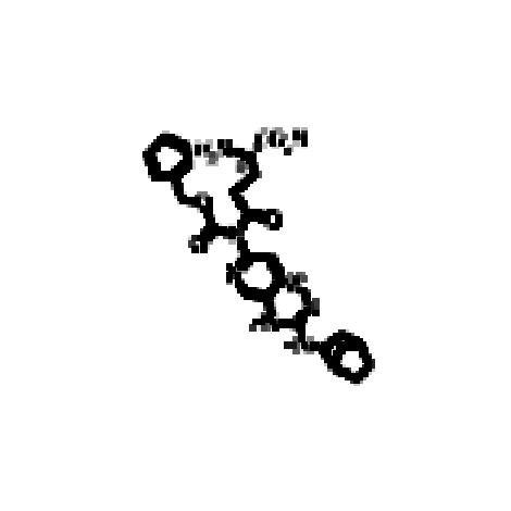 N#CN=C(Nc1ccc(N(C(=O)CC[C@H](N)C(=O)O)C(=O)OCc2ccccc2)nc1)NC1CC2CCC1C2